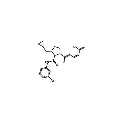 C=C(Cl)/C=C\C=C(/F)C1CCN(CC2CC2)C1C(=O)Nc1cccc(Cl)c1